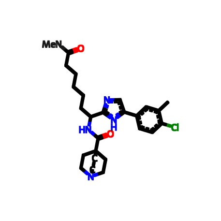 CNC(=O)CCCCCC(NC(=O)C12CCN(CC1)CC2)c1ncc(-c2ccc(Cl)c(C)c2)[nH]1